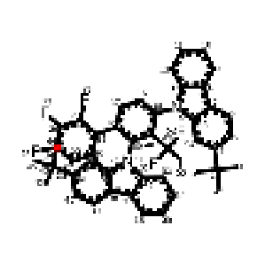 CC(C)(C)c1ccc2c3ccccc3n(-c3ccc(-c4c(F)c(F)c(F)c(F)c4F)c(-n4c5ccccc5c5ccc(C(C)(C)C)cc54)c3C(F)(F)F)c2c1